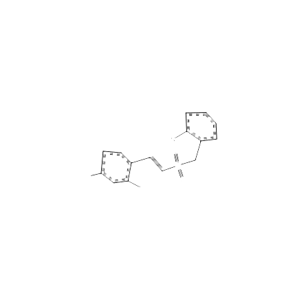 Nc1ccccc1CS(=O)(=O)C=Cc1ccc(F)cc1F